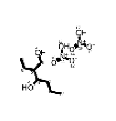 CCCC(O)C(CC)CO.O=[N+]([O-])O.O=[N+]([O-])O